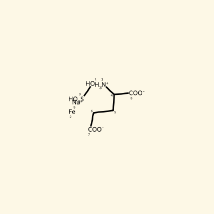 O=S(=O)(O)O.[Fe].[NH3+]C(CCC(=O)[O-])C(=O)[O-].[Na+]